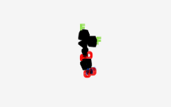 O=C(/C=C/[C@H]1CC1(c1ccc(F)cc1)c1ccc(F)cc1)Oc1ccc([N+](=O)[O-])cc1